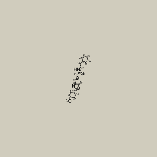 COc1ccc(-c2nc(COCC(=O)NCCc3ccccc3)c(C)o2)cc1